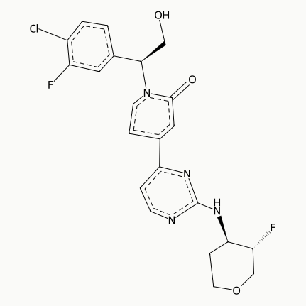 O=c1cc(-c2ccnc(N[C@@H]3CCOC[C@H]3F)n2)ccn1[C@H](CO)c1ccc(Cl)c(F)c1